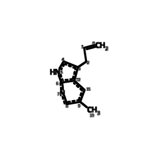 C=CCc1c[nH]c2ncc(C)cc12